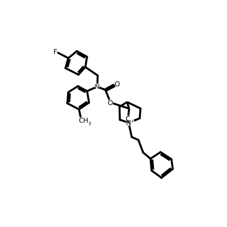 Cc1cccc(N(Cc2ccc(F)cc2)C(=O)OC2C[N+]3(CCCc4ccccc4)CCC2CC3)c1